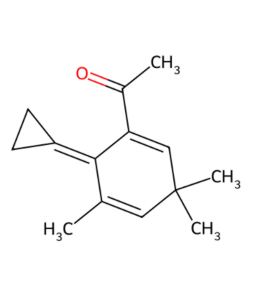 CC(=O)C1=CC(C)(C)C=C(C)C1=C1CC1